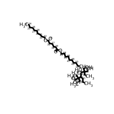 CCC(CO)(CO)CO.CCCC(CC)C(CC)(CC)C(=O)O.CCCCCCCCCCOC(=O)CCCCC(=O)OCCCCCCCCCC